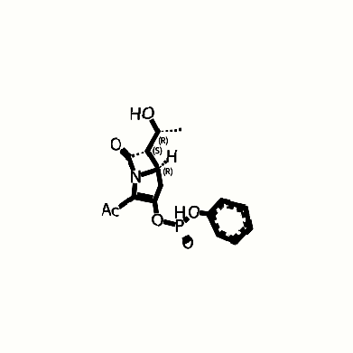 CC(=O)C1=C(O[PH](=O)Oc2ccccc2)C[C@@H]2[C@@H]([C@@H](C)O)C(=O)N12